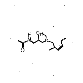 CC/C=C\C(C)CN(CC)CC(O)CNC(C)=O